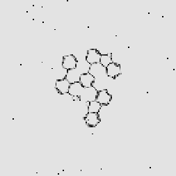 N#Cc1cccc(-c2ccccc2)c1-c1cc(-c2cccc3c2oc2ccccc23)cc(-c2cccc3oc4ccccc4c23)c1